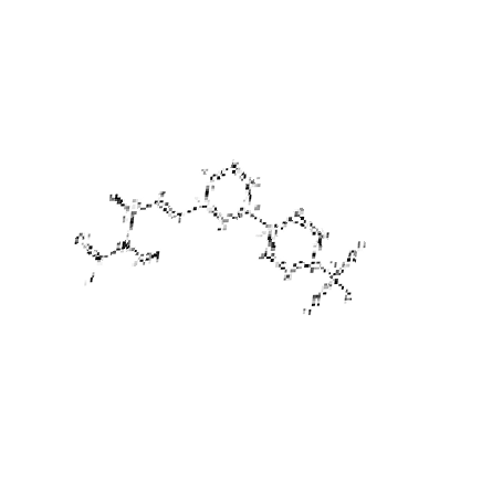 CC(=O)N(O)[C@@H](C)C=Cc1cccc(-c2ccc(S(C)(=O)=O)cc2)c1